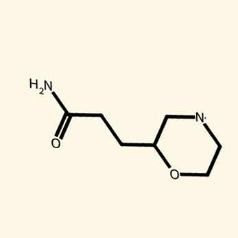 NC(=O)CCC1C[N]CCO1